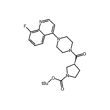 CC(C)(C)OC(=O)N1CC[C@H](C(=O)N2CCN(c3ccnc4c(F)cccc34)CC2)C1